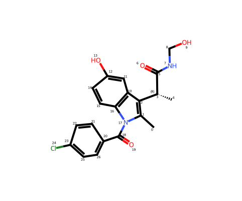 Cc1c([C@@H](C)C(=O)NCO)c2cc(O)ccc2n1C(=O)c1ccc(Cl)cc1